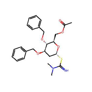 CC(=O)OC[C@H]1O[C@H](SC(=N)N(C)C)C[C@@H](OCc2ccccc2)[C@@H]1OCc1ccccc1